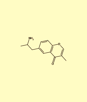 Cc1coc2ccc(CC(C)N)cc2c1=O